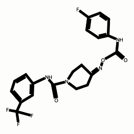 O=C(Nc1ccc(F)cc1)ON=C1CCN(C(=O)Nc2cccc(C(F)(F)F)c2)CC1